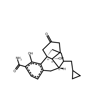 NC(=O)c1ccc2c(c1O)[C@]13CCC(CC4CC4)[C@H](C2)[C@]1(O)CCC(=O)C3